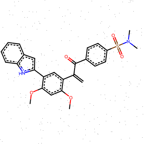 C=C(C(=O)c1ccc(S(=O)(=O)N(C)C)cc1)c1cc(-c2cc3ccccc3[nH]2)c(OC)cc1OC